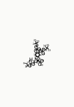 CC[C@H](C)OC(=O)OCC[C@@](N)(Cc1ccc(OC(=O)OCC(C)(C)C)c(OC(=O)OCC(C)(C)C)c1)C(=O)OC